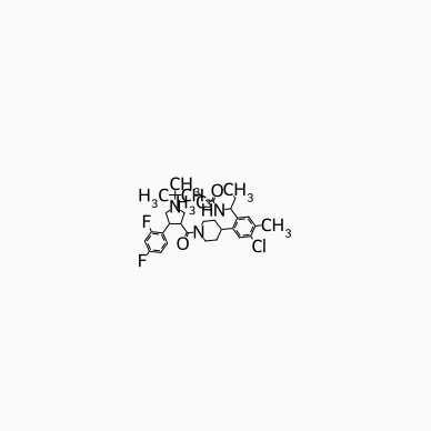 CCC(NC(C)=O)c1cc(C)c(Cl)cc1C1CCN(C(=O)C2CN(C(C)(C)C)CC2c2ccc(F)cc2F)CC1